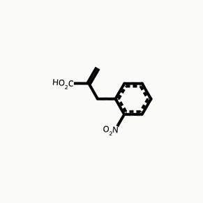 C=C(Cc1ccccc1[N+](=O)[O-])C(=O)O